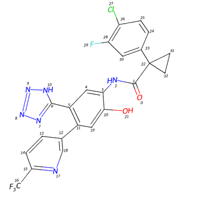 O=C(Nc1cc(-c2nnn[nH]2)c(-c2ccc(C(F)(F)F)nc2)cc1O)C1(c2ccc(Cl)c(F)c2)CC1